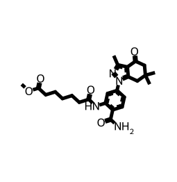 COC(=O)CCCCCC(=O)Nc1cc(-n2nc(C)c3c2CC(C)(C)CC3=O)ccc1C(N)=O